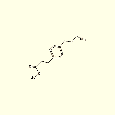 CC(C)(C)OC(=O)CCc1ccc(CCCN)cc1